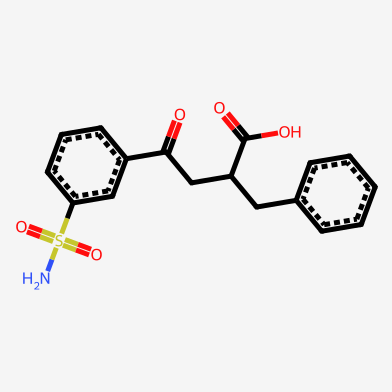 NS(=O)(=O)c1cccc(C(=O)CC(Cc2ccccc2)C(=O)O)c1